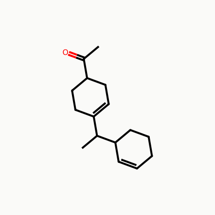 CC(=O)C1CC=C(C(C)C2C=CCCC2)CC1